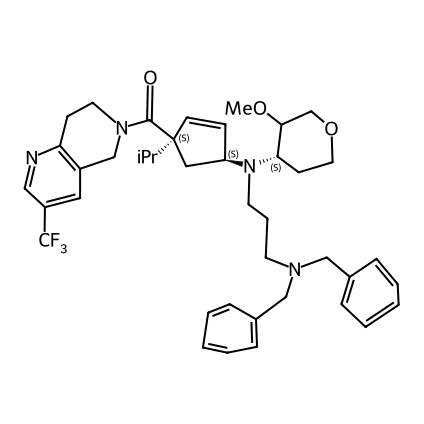 COC1COCC[C@@H]1N(CCCN(Cc1ccccc1)Cc1ccccc1)[C@@H]1C=C[C@@](C(=O)N2CCc3ncc(C(F)(F)F)cc3C2)(C(C)C)C1